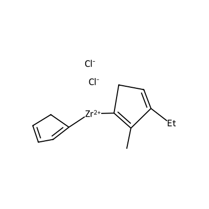 CCC1=CC[C]([Zr+2][C]2=CC=CC2)=C1C.[Cl-].[Cl-]